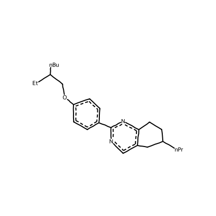 CCCCC(CC)COc1ccc(-c2ncc3c(n2)CCC(CCC)C3)cc1